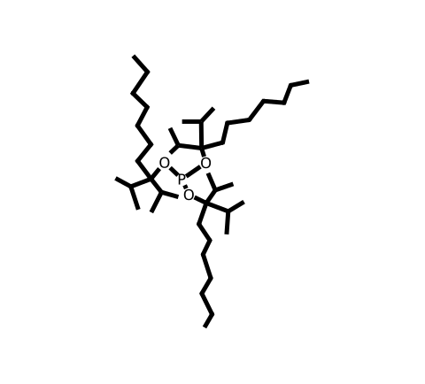 CCCCCCCC(OP(OC(CCCCCCC)(C(C)C)C(C)C)OC(CCCCCCC)(C(C)C)C(C)C)(C(C)C)C(C)C